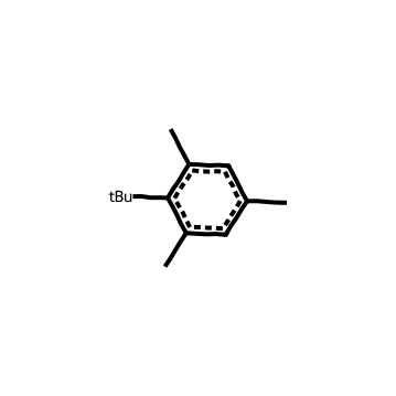 Cc1cc(C)c(C(C)(C)C)c(C)c1